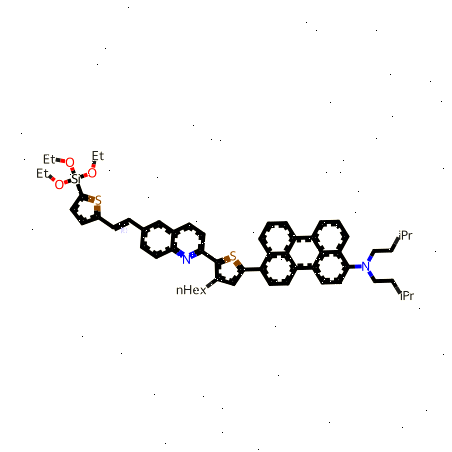 CCCCCCc1cc(-c2ccc3c4ccc(N(CCC(C)C)CCC(C)C)c5cccc(c6cccc2c63)c54)sc1-c1ccc2cc(/C=C/c3ccc([Si](OCC)(OCC)OCC)s3)ccc2n1